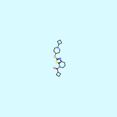 O=C(C1CCC1)N1CCCc2nc(OC3CCN(C4CCC4)CC3)sc21